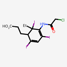 CCC1(I)C(NC(=O)CCl)=C(I)C=C(I)C1CCC(=O)O